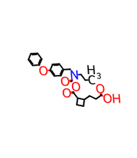 CCCN(Cc1ccc(Oc2ccccc2)cc1)C(=O)OC(=O)C1CCC1CCC(=O)O